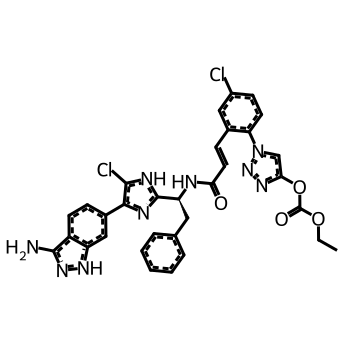 CCOC(=O)Oc1cn(-c2ccc(Cl)cc2/C=C/C(=O)N[C@@H](Cc2ccccc2)c2nc(-c3ccc4c(N)n[nH]c4c3)c(Cl)[nH]2)nn1